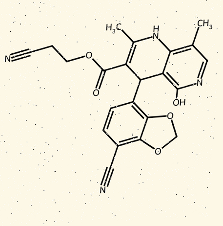 CC1=C(C(=O)OCCC#N)C(c2ccc(C#N)c3c2OCO3)c2c(O)ncc(C)c2N1